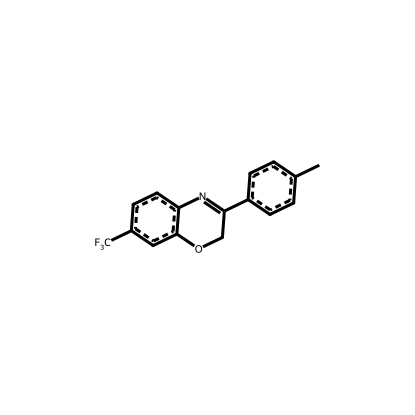 Cc1ccc(C2=Nc3ccc(C(F)(F)F)cc3OC2)cc1